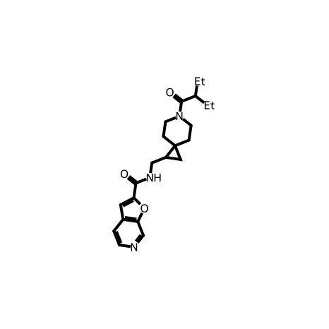 CCC(CC)C(=O)N1CCC2(CC1)CC2CNC(=O)c1cc2ccncc2o1